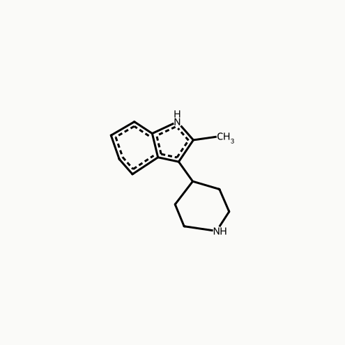 Cc1[nH]c2ccccc2c1C1CCNCC1